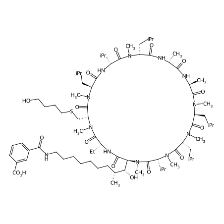 CC[C@H]1NC(=O)[C@H]([C@H](O)[C@H](C)CCCCCCCNC(=O)c2cccc(C(=O)O)c2)N(C)C(=O)[C@@H](C(C)C)N(C)C(=O)[C@@H](CC(C)C)N(C)C(=O)[C@H](CC(C)C)N(C)C(=O)[C@H](C)NC(=O)[C@@H](C)NC(=O)[C@@H](CC(C)C)N(C)C(=O)[C@@H](C(C)C)NC(=O)[C@H](CC(C)C)N(C)C(=O)[C@@H](CSCCCCO)N(C)C1=O